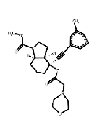 COC(=O)N1CC[C@@H]2[C@H]1CCC[C@]2(C#Cc1cccc(C)c1)OC(=O)CN1CCOCC1